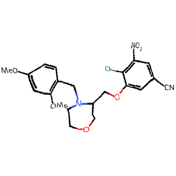 COc1ccc(CN2CCOCC2COc2cc(C#N)cc([N+](=O)[O-])c2Cl)c(OC)c1